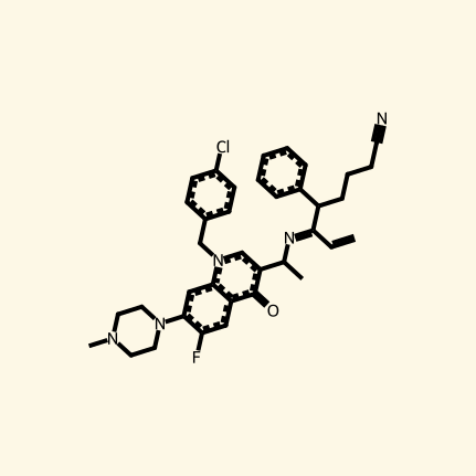 C=C/C(=N\C(C)c1cn(Cc2ccc(Cl)cc2)c2cc(N3CCN(C)CC3)c(F)cc2c1=O)C(CCCC#N)c1ccccc1